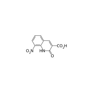 O=C(O)c1cc2cccc([N+](=O)[O-])c2[nH]c1=O